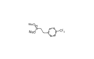 CO[SiH](CCc1ccc(C(F)(F)F)cc1)OC